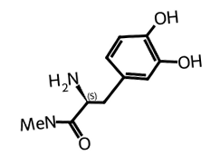 CNC(=O)[C@@H](N)Cc1ccc(O)c(O)c1